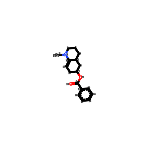 CCCN1CCCC2CC(OC(=O)c3ccccc3)CC=C21